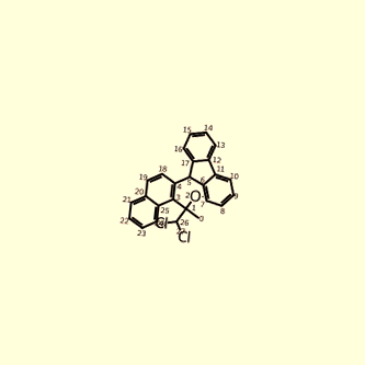 CC([O])(c1c(C2c3ccccc3-c3ccccc32)ccc2ccccc12)C(Cl)Cl